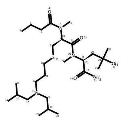 CCCC(=O)N(C)[C@H](CSCCCN(CC(C)C)CC(C)C)C(=O)N(C)[C@@H](CC(C)(C)O)C(N)=O